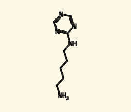 NCCCCCNc1ncncn1